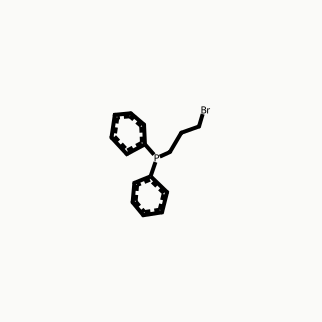 BrCCCP(c1ccccc1)c1ccccc1